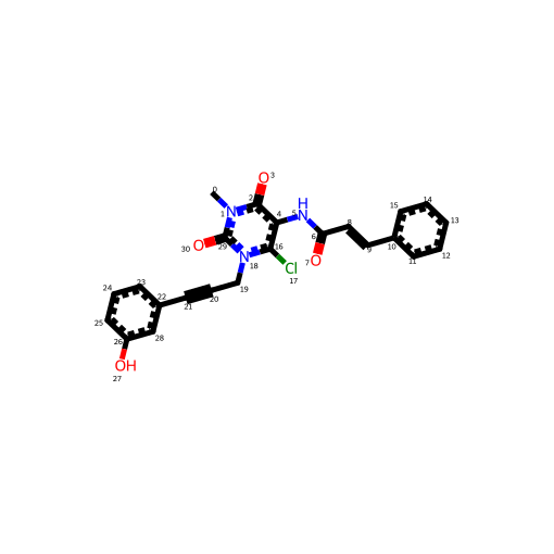 Cn1c(=O)c(NC(=O)/C=C/c2ccccc2)c(Cl)n(CC#Cc2cccc(O)c2)c1=O